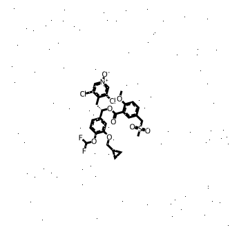 COc1ccc(CS(C)(=O)=O)cc1C(=O)O[C@@H](Cc1c(Cl)c[n+]([O-])cc1Cl)c1ccc(OC(F)F)c(OCC2CC2)c1